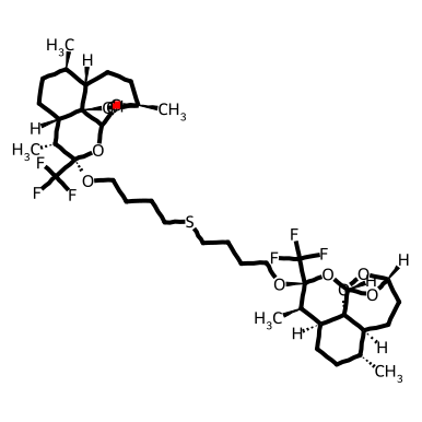 C[C@@H]1CC[C@H]2[C@@H](C)[C@](OCCCCSCCCCO[C@@]3(C(F)(F)F)O[C@@H]4O[C@]5(C)CC[C@H]6[C@H](C)CC[C@@H]([C@H]3C)[C@@]46OO5)(C(F)(F)F)O[C@@H]3O[C@H]4CC[C@@H]1[C@]32OO4